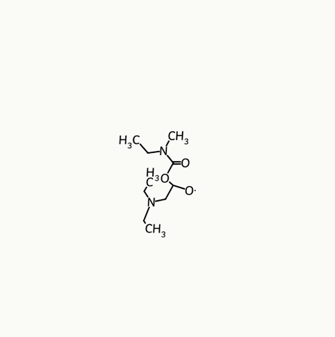 CCN(CC)CC([O])OC(=O)N(C)CC